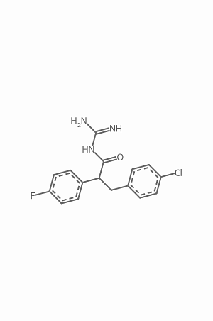 N=C(N)NC(=O)C(Cc1ccc(Cl)cc1)c1ccc(F)cc1